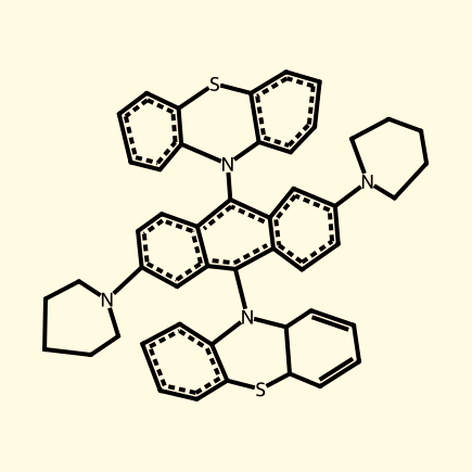 C1=CC2Sc3ccccc3N(c3c4ccc(N5CCCCC5)cc4c(N4c5ccccc5Sc5ccccc54)c4ccc(N5CCCCC5)cc34)C2C=C1